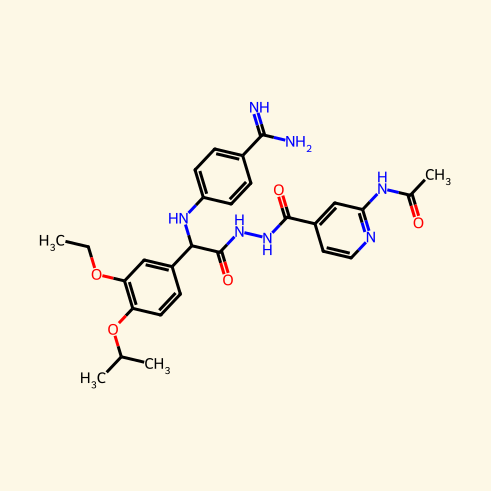 CCOc1cc(C(Nc2ccc(C(=N)N)cc2)C(=O)NNC(=O)c2ccnc(NC(C)=O)c2)ccc1OC(C)C